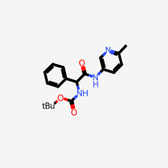 Cc1ccc(NC(=O)C(NC(=O)OC(C)(C)C)c2ccccc2)cn1